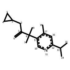 C=C(CC1CC1)C(C)(C)c1cnc(C(C)C)cc1C